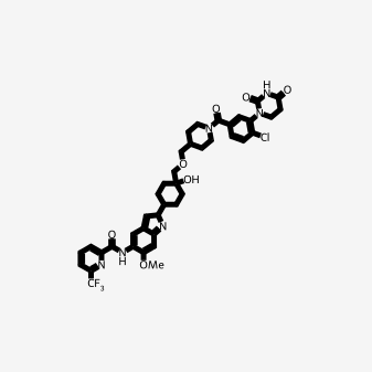 COc1cc2c(cc1NC(=O)c1cccc(C(F)(F)F)n1)=CC(C1CCC(O)(COCC3CCN(C(=O)c4ccc(Cl)c(N5CCC(=O)NC5=O)c4)CC3)CC1)N=2